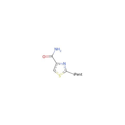 CCCC(C)c1nc(C(N)=O)cs1